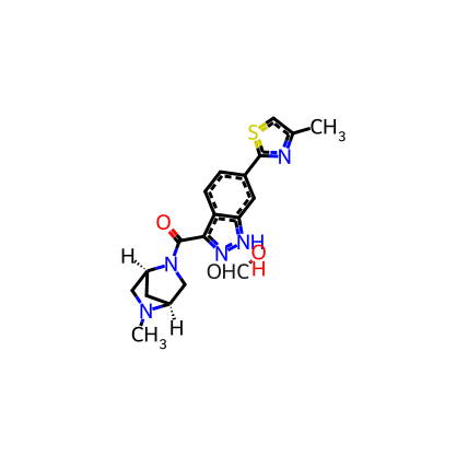 Cc1csc(-c2ccc3c(C(=O)N4C[C@@H]5C[C@H]4CN5C)n[nH]c3c2)n1.O=CO